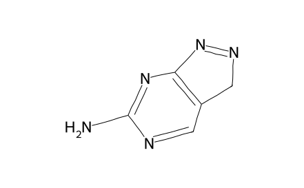 Nc1ncc2c(n1)N=NC2